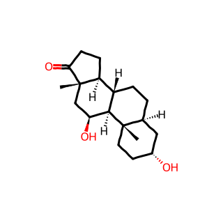 C[C@]12CC[C@@H](O)C[C@@H]1CC[C@@H]1[C@@H]2[C@@H](O)C[C@]2(C)C(=O)CC[C@@H]12